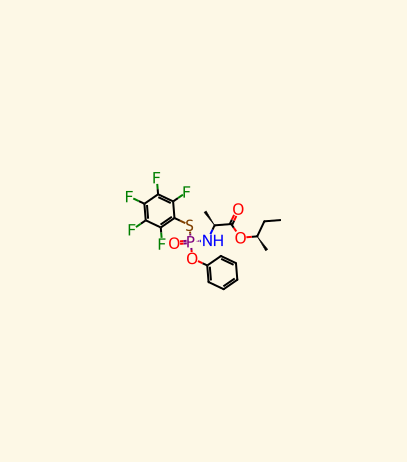 CC[C@@H](C)OC(=O)[C@H](C)N[P@@](=O)(Oc1ccccc1)Sc1c(F)c(F)c(F)c(F)c1F